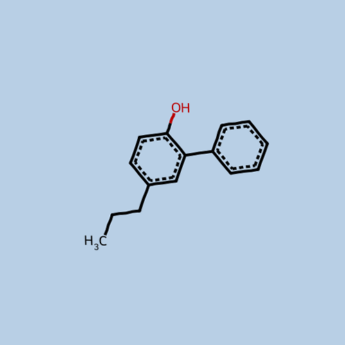 CCCc1ccc(O)c(-c2ccccc2)c1